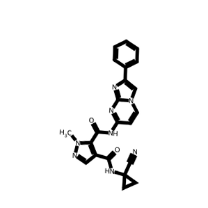 Cn1ncc(C(=O)NC2(C#N)CC2)c1C(=O)Nc1ccn2cc(-c3ccccc3)nc2n1